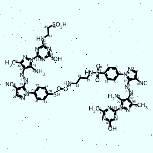 [C-]#[N+]c1cnn(-c2ccc(S(=O)(=O)NCCCNOOSc3ccc(-n4ncc(C#N)c4/N=N/c4c(C)nn(-c5nc(O)nc(NCCS(=O)(=O)O)n5)c4N)cc3)cc2)c1/N=N/c1c(C)nn(-c2nc(C)nc(O)n2)c1N